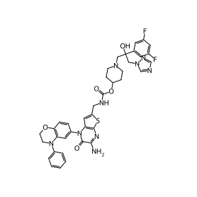 Nc1nc2sc(CNC(=O)OC3CCN(CC(O)(Cn4cncn4)c4cc(F)cc(F)c4)CC3)cc2n(-c2ccc3c(c2)N(c2ccccc2)CCO3)c1=O